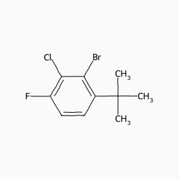 CC(C)(C)c1ccc(F)c(Cl)c1Br